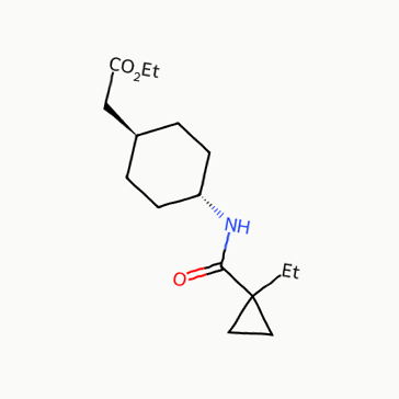 CCOC(=O)C[C@H]1CC[C@H](NC(=O)C2(CC)CC2)CC1